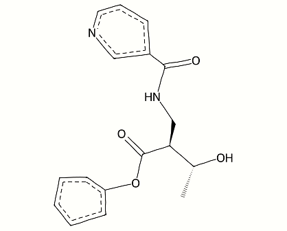 C[C@@H](O)[C@H](CNC(=O)c1cccnc1)C(=O)Oc1ccccc1